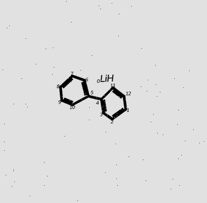 [LiH].c1ccc(-c2ccccc2)cc1